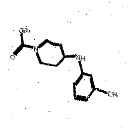 CC(C)COC(=O)N1CCC(Nc2cccc(C#N)c2)CC1